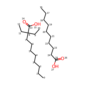 CCCCCCCCC(CC)(CC)C(=O)O.CCCCCCCCCC(=O)O